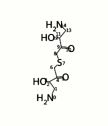 NCC(O)C(=O)CSCC(=O)C(O)CN